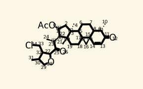 CC(=O)O[C@H]1C[C@@]2(C)C3CCC4[C@H](C)C(=O)C=C[C@@]45C[C@@]35CC[C@]2(C)[C@H]1[C@H](C)C(=O)C1OCC(C)C1CCl